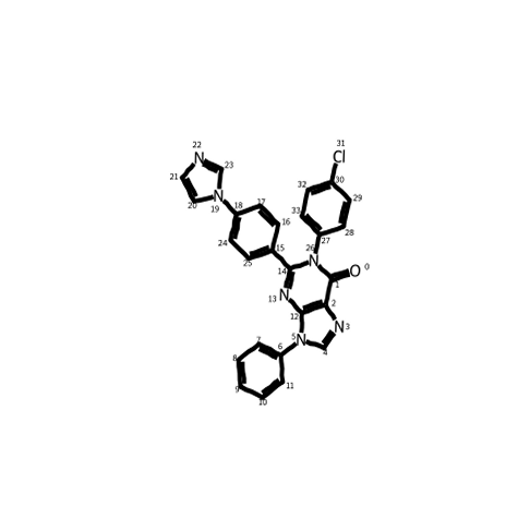 O=c1c2ncn(-c3ccccc3)c2nc(-c2ccc(-n3ccnc3)cc2)n1-c1ccc(Cl)cc1